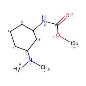 CN(C)C1CCCC(NC(=O)OC(C)(C)C)C1